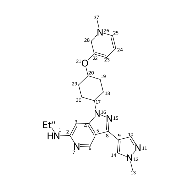 CCNc1cc2c(cn1)c(-c1cnn(C)c1)nn2C1CCC(OC2=CC=CN(C)C2)CC1